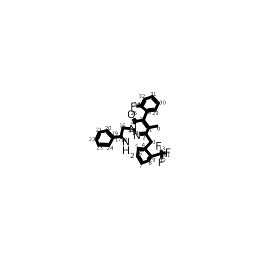 Cc1c(Cc2ccccc2C(F)(F)F)nn(CC(N)c2ccccc2)c(=O)c1-c1ccccc1F